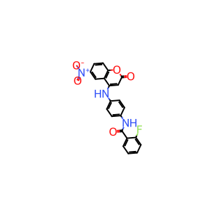 O=C(Nc1ccc(Nc2cc(=O)oc3ccc([N+](=O)[O-])cc23)cc1)c1ccccc1F